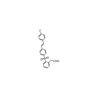 O=CCc1ccccc1S(=O)(=O)c1ccc(C=Cc2ccc(F)cc2)cc1